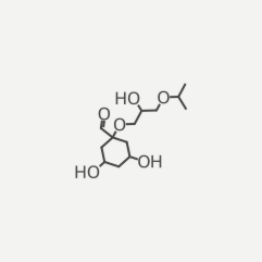 CC(C)OCC(O)COC1(C=O)CC(O)CC(O)C1